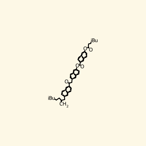 C=C(CCC(C)CC)Cc1ccc2cc(C(=O)Cc3ccc4cc(OC(=O)c5ccc6cc(OC(=O)CCC(C)CC)ccc6c5)ccc4c3)ccc2c1